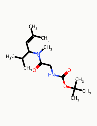 CC(C)=CC(C(C)C)N(C)C(=O)CNC(=O)OC(C)(C)C